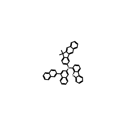 CC1(C)c2ccc(N(c3cc(-c4ccc5ccccc5c4)c4ccccc4c3)c3cccc4c3sc3ccccc34)cc2-c2cc3ccccc3cc21